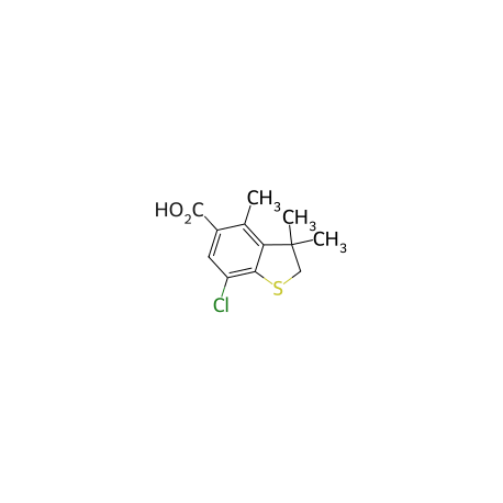 Cc1c(C(=O)O)cc(Cl)c2c1C(C)(C)CS2